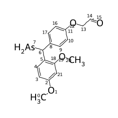 COc1ccc(C([AsH2])c2ccc(OC[C]=O)cc2)c(OC)c1